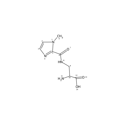 Cn1ccnc1C(=O)NCC(N)C(=O)O